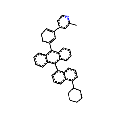 Cc1cc(C2=CCCC(c3c4ccccc4c(-c4cccc5c(C6CCCCC6)cccc45)c4ccccc34)=C2)ccn1